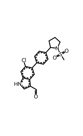 CS(=O)(=O)N1CCCC1c1ccc(-c2cc3c(C=O)c[nH]c3cc2Cl)cc1